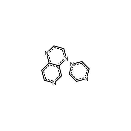 c1cc2nccnc2cn1.c1cnccn1